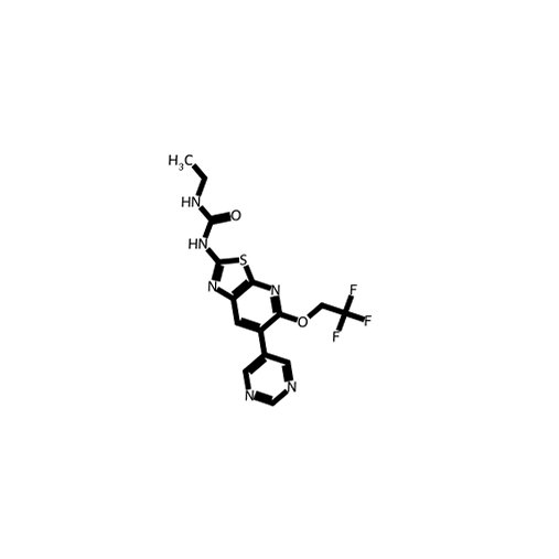 CCNC(=O)Nc1nc2cc(-c3cncnc3)c(OCC(F)(F)F)nc2s1